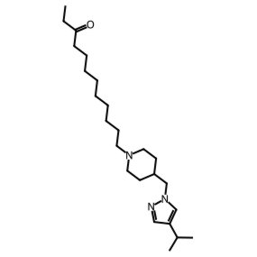 CCC(=O)CCCCCCCCCN1CCC(Cn2cc(C(C)C)cn2)CC1